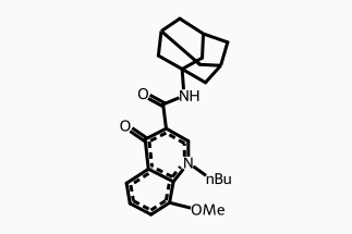 CCCCn1cc(C(=O)NC23CC4CC(CC(C4)C2)C3)c(=O)c2cccc(OC)c21